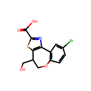 O=C(O)c1nc2c(s1)C(CO)COc1ccc(Br)cc1-2